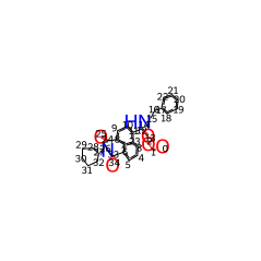 O=COc1ccc2c3c(ccc(C(=O)NCCc4ccccc4)c13)C(=O)N(C1CCCCC1)C2=O